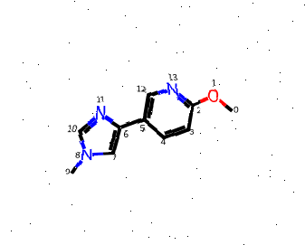 COc1ccc(-c2cn(C)cn2)cn1